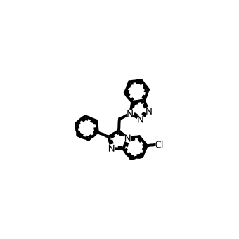 Clc1ccc2nc(-c3ccccc3)c(Cn3nnc4ccccc43)n2c1